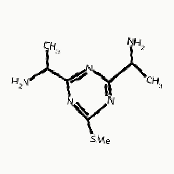 CSc1nc(C(C)N)nc(C(C)N)n1